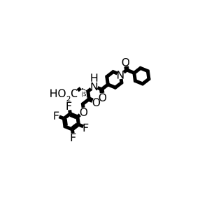 O=C(O)C[C@H](NC(=O)C1CCN(C(=O)C2CCCCC2)CC1)C(=O)COc1c(F)c(F)cc(F)c1F